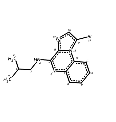 CC(C)CNc1nc2ccccc2n2c(Br)cnc12